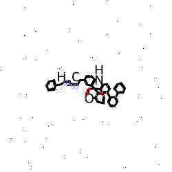 C=C(/C=C\C=C/Cc1ccccc1)c1ccc2c(c1)C1(c3cc(-c4ccccc4-c4ccccc4)ccc3N2)c2ccccc2Oc2ccccc21